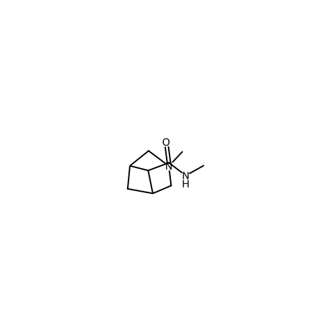 CNC(=O)C1C2CC1CN(C)C2